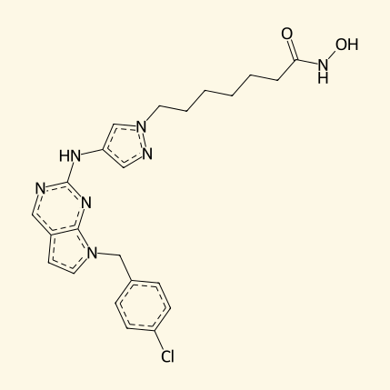 O=C(CCCCCCn1cc(Nc2ncc3ccn(Cc4ccc(Cl)cc4)c3n2)cn1)NO